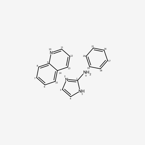 Nc1ncc[nH]1.c1ccc2ncccc2c1.c1ccccc1